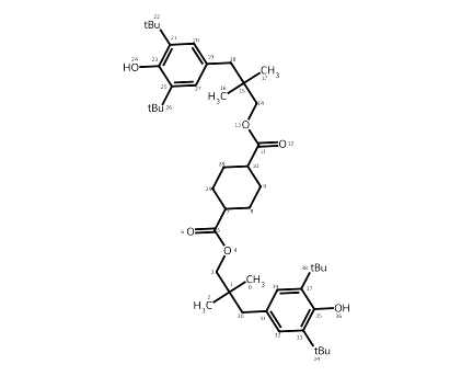 CC(C)(COC(=O)C1CCC(C(=O)OCC(C)(C)Cc2cc(C(C)(C)C)c(O)c(C(C)(C)C)c2)CC1)Cc1cc(C(C)(C)C)c(O)c(C(C)(C)C)c1